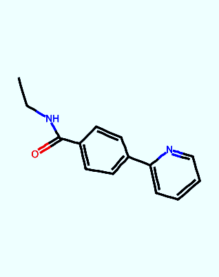 CCNC(=O)c1ccc(-c2ccccn2)cc1